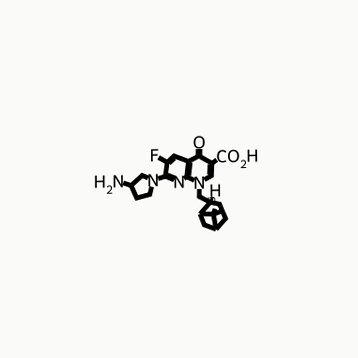 CC1(C)C2CC[C@@H](Cn3cc(C(=O)O)c(=O)c4cc(F)c(N5CCC(N)C5)nc43)C1C2